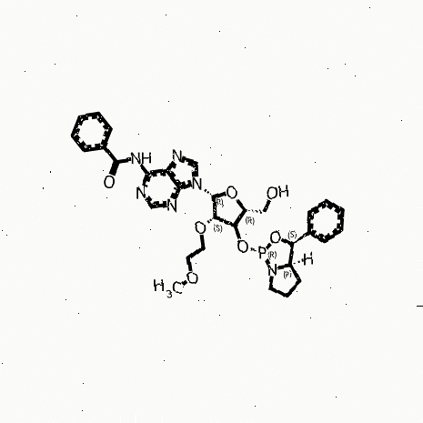 COCCO[C@H]1C(O[P@]2O[C@@H](c3ccccc3)[C@H]3CCCN32)[C@@H](CO)O[C@H]1n1cnc2c(NC(=O)c3ccccc3)ncnc21